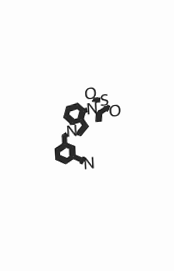 C=C1C(=O)SC(=O)N1c1cccc2c1ccn2Cc1cccc(C#N)c1